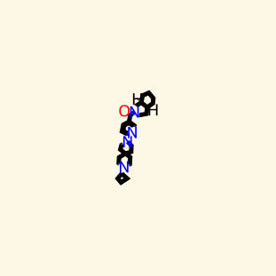 O=C(c1ccc(N2CCC3(CC2)CCN(C2CCC2)CC3)nc1)N1CC[C@@H]2CCCC[C@@H]2C1